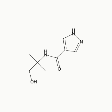 CC(C)(CO)NC(=O)c1cn[nH]c1